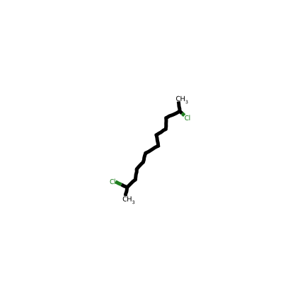 CC(Cl)CCCCCCCCC(C)Cl